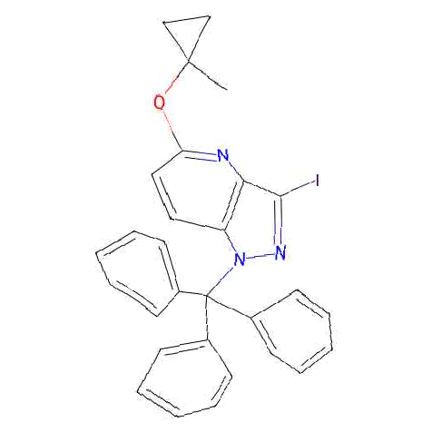 CC1(Oc2ccc3c(n2)c(I)nn3C(c2ccccc2)(c2ccccc2)c2ccccc2)CC1